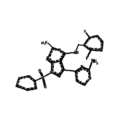 Cc1nc(NCc2c(F)cccc2F)c2c(-c3ccnc(N)n3)cn(S(=O)(=O)c3ccccc3)c2n1